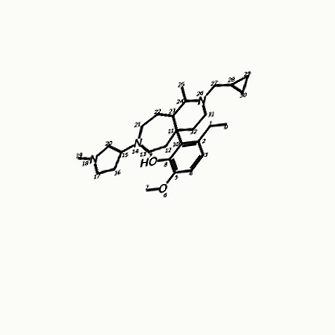 CCc1ccc(OC)c(O)c1C12CCN(C3CCN(C)C3)CCC1C(C)N(CC1CC1)CC2